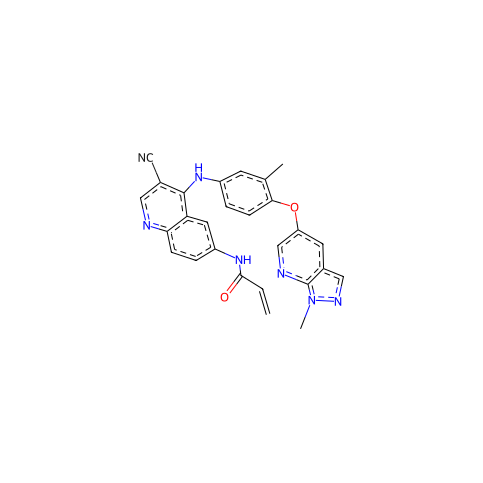 C=CC(=O)Nc1ccc2ncc(C#N)c(Nc3ccc(Oc4cnc5c(cnn5C)c4)c(C)c3)c2c1